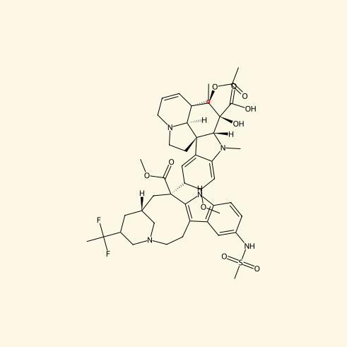 CC[C@]12C=CCN3CC[C@@]4(C5=CC([C@@]6(C(=O)OC)C[C@H]7CC(C(C)(F)F)CN(CCc8c6[nH]c6ccc(NS(C)(=O)=O)cc86)C7)C(OC)C=C5N(C)[C@H]4[C@@](O)(C(=O)O)[C@@H]1OC(C)=O)[C@@H]32